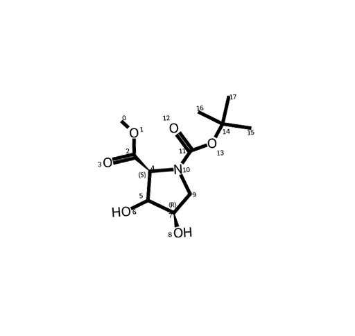 COC(=O)[C@@H]1C(O)[C@H](O)CN1C(=O)OC(C)(C)C